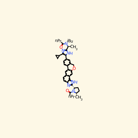 CCCC(=O)N([C@@H](C)CC)[C@@H](C)c1nc(C2CC2)c(-c2ccc3c(c2)COc2cc4c(ccc5nc([C@@H]6CC[C@H](C)N6C(=O)CCC)[nH]c54)cc2-3)[nH]1